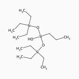 CCC[Si](O)(O[Si](CC)(CC)CC)O[Si](CC)(CC)CC